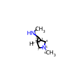 CNC1C2CN(C)C[C@H]21